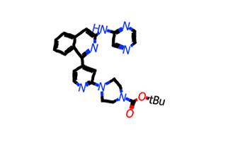 CC(C)(C)OC(=O)N1CCN(c2cc(-c3nc(Nc4cnccn4)cc4ccccc34)ccn2)CC1